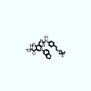 CONC(=O)c1cn(-c2ccc3c(c2)CCC3)c2nc(Nc3ccc(CCN4CC(F)(F)C4)cc3)ncc2c1=O